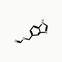 O=COCc1ccc2[nH]cnc2c1